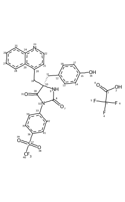 O=C(O)C(F)(F)F.O=C1N[C@](Cc2ccc(O)cc2)(Cc2ccnc3ccccc23)C(=O)N1c1ccc(S(=O)(=O)C(F)(F)F)cc1